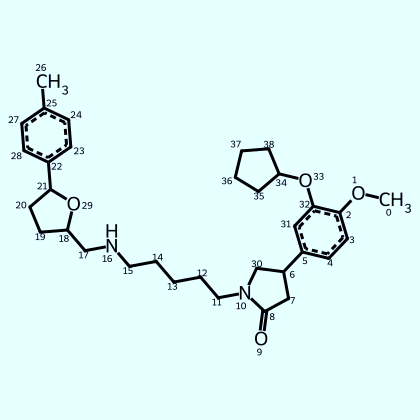 COc1ccc(C2CC(=O)N(CCCCCNCC3CCC(c4ccc(C)cc4)O3)C2)cc1OC1CCCC1